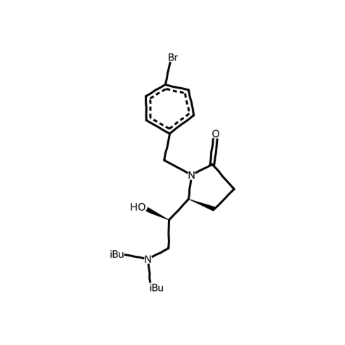 CCC(C)N(C[C@@H](O)[C@@H]1CCC(=O)N1Cc1ccc(Br)cc1)C(C)CC